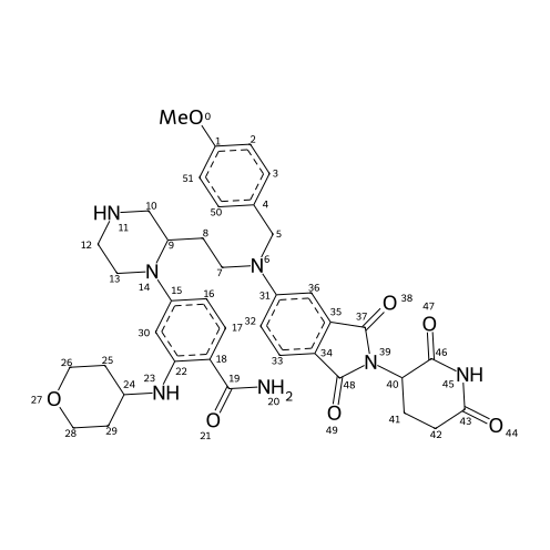 COc1ccc(CN(CCC2CNCCN2c2ccc(C(N)=O)c(NC3CCOCC3)c2)c2ccc3c(c2)C(=O)N(C2CCC(=O)NC2=O)C3=O)cc1